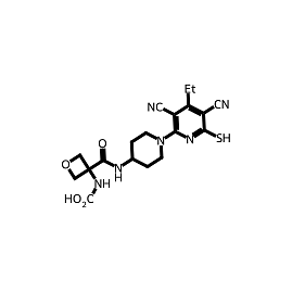 CCc1c(C#N)c(S)nc(N2CCC(NC(=O)C3(NC(=O)O)COC3)CC2)c1C#N